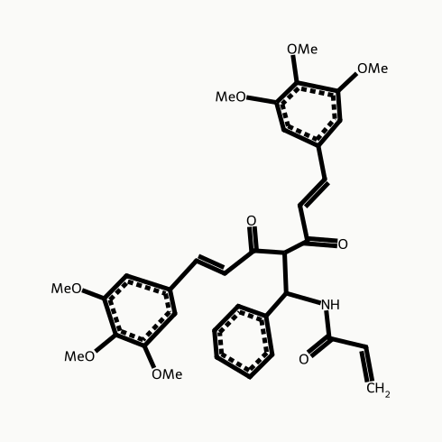 C=CC(=O)NC(c1ccccc1)C(C(=O)/C=C/c1cc(OC)c(OC)c(OC)c1)C(=O)/C=C/c1cc(OC)c(OC)c(OC)c1